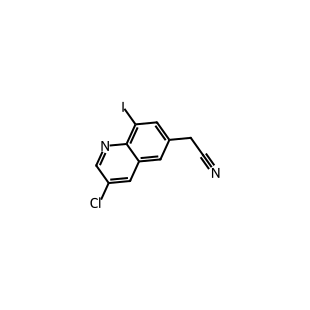 N#CCc1cc(I)c2ncc(Cl)cc2c1